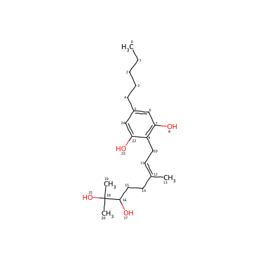 CCCCCc1cc(O)c(C/C=C(\C)CCC(O)C(C)(C)O)c(O)c1